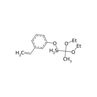 C=Cc1cccc(O[SiH2]C(C)(OCC)OCC)c1